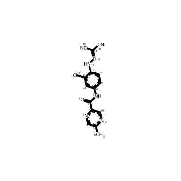 Cc1cnc(C(=O)Nc2ccc(NN=C(C#N)C#N)c(Cl)c2)cn1